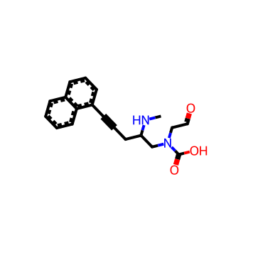 CNC(CC#Cc1cccc2ccccc12)CN(CC=O)C(=O)O